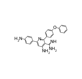 N=C(N)c1c(N)cc(-c2ccc(N)cc2)nc1-c1ccc(Oc2ccccc2)cc1